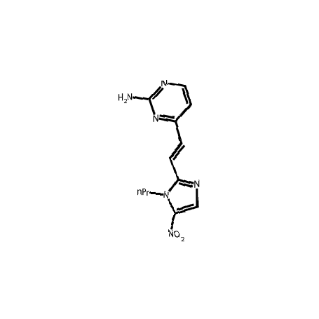 CCCn1c([N+](=O)[O-])cnc1C=Cc1ccnc(N)n1